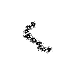 Cc1ccsc1-c1ccc(-c2ccc(-c3sc(-c4ccc(-c5cc(C)c(-c6ccc(-c7ccc(-c8sccc8C)s7)s6)s5)cc4)cc3C)s2)s1